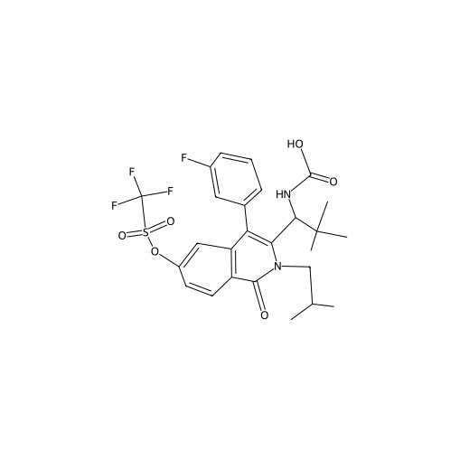 CC(C)Cn1c(C(NC(=O)O)C(C)(C)C)c(-c2cccc(F)c2)c2cc(OS(=O)(=O)C(F)(F)F)ccc2c1=O